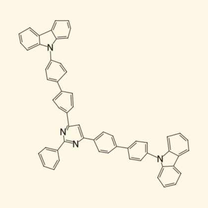 c1ccc(-c2nc(-c3ccc(-c4ccc(-n5c6ccccc6c6ccccc65)cc4)cc3)cc(-c3ccc(-c4ccc(-n5c6ccccc6c6ccccc65)cc4)cc3)n2)cc1